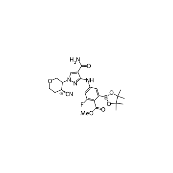 COC(=O)c1c(F)cc(Nc2nn(C3COCC[C@@H]3C#N)cc2C(N)=O)cc1B1OC(C)(C)C(C)(C)O1